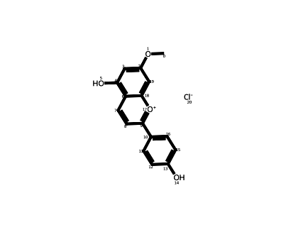 COc1cc(O)c2ccc(-c3ccc(O)cc3)[o+]c2c1.[Cl-]